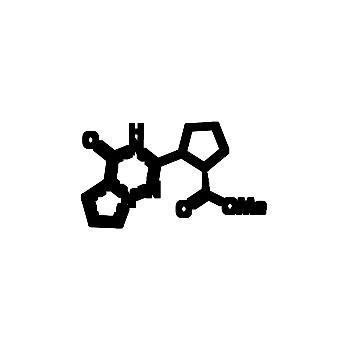 COC(=O)[C@H]1CCCC1c1nn2cccc2c(=O)[nH]1